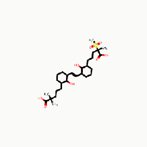 CC(C)(CCCC1CCCC(C=CC2CCCC(CCCC(C)(C(=O)O)S(C)(=O)=O)C2O)C1O)C(=O)O